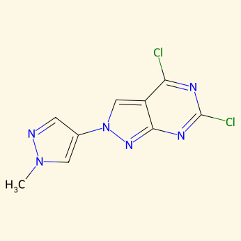 Cn1cc(-n2cc3c(Cl)nc(Cl)nc3n2)cn1